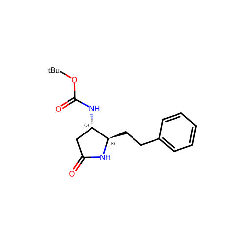 CC(C)(C)OC(=O)N[C@H]1CC(=O)N[C@@H]1CCc1ccccc1